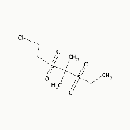 CCS(=O)(=O)C(C)(C)S(=O)(=O)CCCl